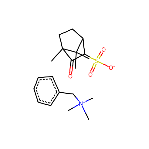 CC12CCC(C(S(=O)(=O)[O-])C1=O)C2(C)C.C[N+](C)(C)Cc1ccccc1